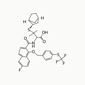 CC(C)(S[C@@H]1C[C@@H]2CC[C@H]1C2)C(NC(=O)c1ccc2cc(F)ccc2c1OCc1ccc(SC(F)(F)F)cc1)C(=O)O